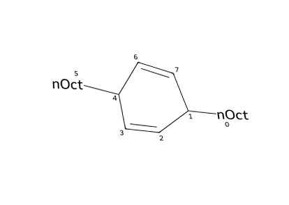 CCCCCCCCC1C=CC(CCCCCCCC)C=C1